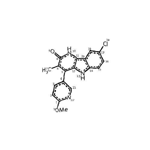 COc1ccc(-c2c(C)c(=O)[nH]c3c2[nH]c2ccc(Cl)cc23)cn1